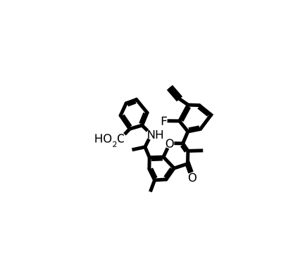 C#Cc1cccc(-c2oc3c(C(C)Nc4ccccc4C(=O)O)cc(C)cc3c(=O)c2C)c1F